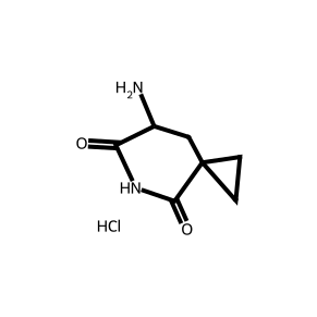 Cl.NC1CC2(CC2)C(=O)NC1=O